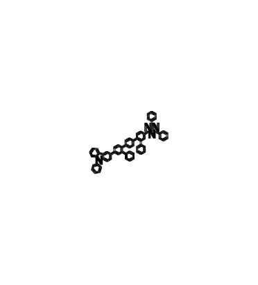 c1ccc(-c2nc(-c3ccccc3)nc(-c3ccc(-c4ccc(-c5ccc(-c6ccc7c(c6)c6ccccc6n7-c6ccccc6)cc5-c5ccccc5)cc4)c(-c4ccccc4)c3)n2)cc1